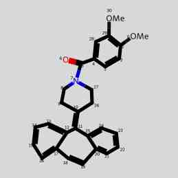 COc1ccc(C(=O)N2CCC(=C3c4ccccc4C=Cc4ccccc43)CC2)cc1OC